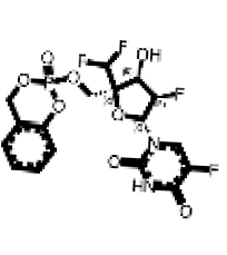 O=c1[nH]c(=O)n([C@@H]2O[C@@](COP3(=O)OCc4ccccc4O3)(C(F)F)[C@@H](O)[C@H]2F)cc1F